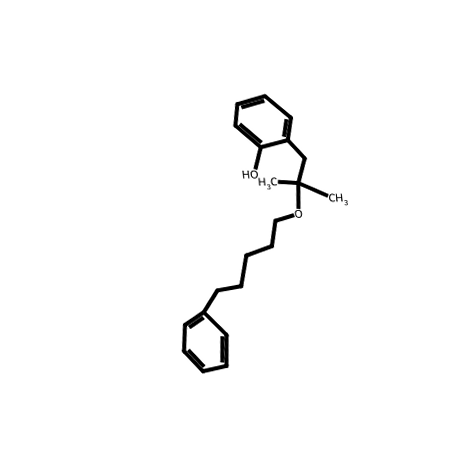 CC(C)(Cc1ccccc1O)OCCCCCc1ccccc1